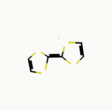 C1=CSC(=C2SC=CS2)S1.[Zn]